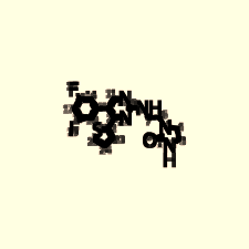 O=C1NCCN1CCNc1ncc(-c2cc(F)cc(F)c2)c(-c2cccs2)n1